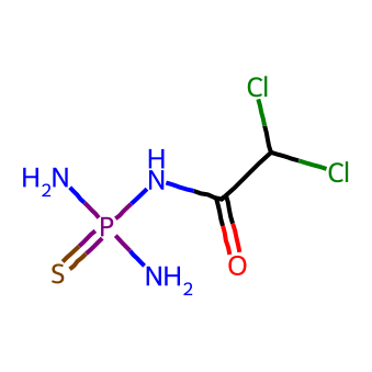 NP(N)(=S)NC(=O)C(Cl)Cl